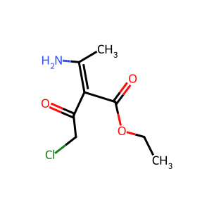 CCOC(=O)/C(C(=O)CCl)=C(\C)N